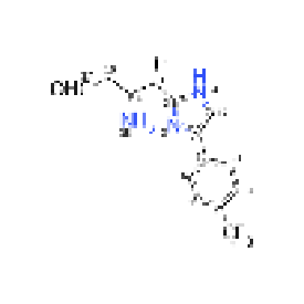 C[C@@H](c1nc(-c2ccc(C(F)(F)F)cc2)c[nH]1)C(N)CC=O